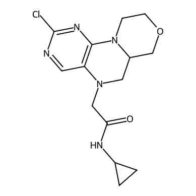 O=C(CN1CC2COCCN2c2nc(Cl)ncc21)NC1CC1